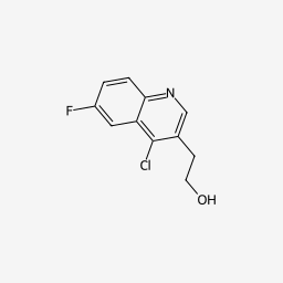 OCCc1cnc2ccc(F)cc2c1Cl